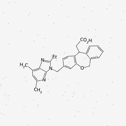 CCc1nc2c(C)cc(C)nc2n1Cc1ccc2c(c1)OCc1ccccc1C2CC(=O)O